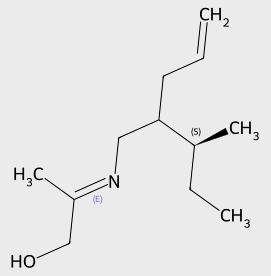 C=CCC(C/N=C(\C)CO)[C@@H](C)CC